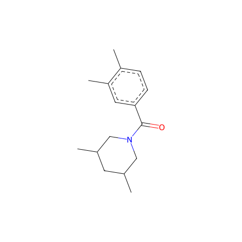 Cc1ccc(C(=O)N2CC(C)CC(C)C2)cc1C